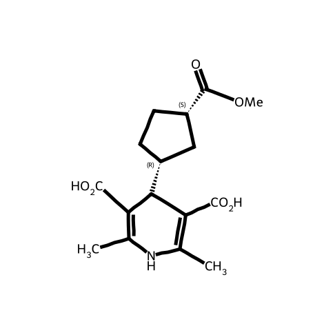 COC(=O)[C@H]1CC[C@@H](C2C(C(=O)O)=C(C)NC(C)=C2C(=O)O)C1